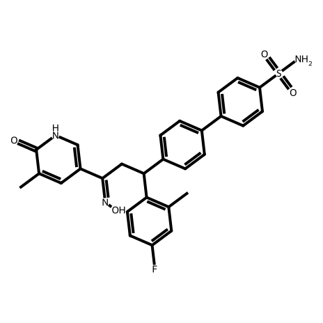 Cc1cc(F)ccc1C(C/C(=N\O)c1c[nH]c(=O)c(C)c1)c1ccc(-c2ccc(S(N)(=O)=O)cc2)cc1